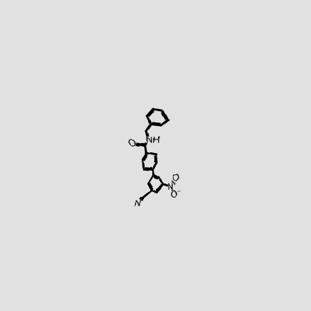 N#Cc1cc(-c2ccc(C(=O)NCc3ccccc3)cc2)cc([N+](=O)[O-])c1